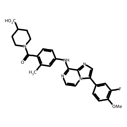 COc1ccc(-c2cnc3c(Nc4ccc(C(=O)N5CCC(C(=O)O)CC5)c(C)c4)nccn23)cc1F